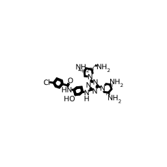 NC[C@@H]1C[C@H](CN)CN(c2nc(Nc3ccc(NC(=O)c4ccc(Cl)cc4)c(O)c3)nc(N3C[C@H](N)C[C@H](N)C3)n2)C1